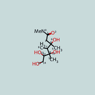 CNC(=O)CC(C)(O)C(C)C(C)(O)C(O)CO